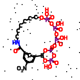 O=C1NCCCCCCOP(=O)(O)OP(=O)(O)OP(=O)(O)OP2(=O)OB(OP(=O)(O)O2)c2cc1cc([N+](=O)[O-])c2